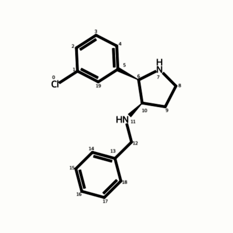 Clc1cccc([C@H]2NCC[C@H]2NCc2ccccc2)c1